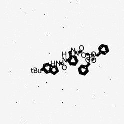 CC(C)(C)c1ccc2c(c1)CC[C@H]2NC(=O)Nc1cccc2c1cnn2C(=O)OCP(=O)(OCc1ccccc1)OCc1ccccc1